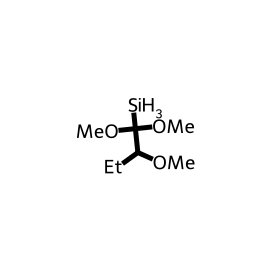 CCC(OC)C([SiH3])(OC)OC